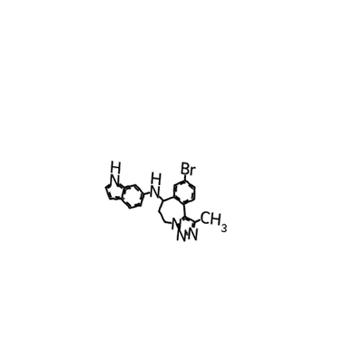 Cc1nnn2c1-c1ccc(Br)cc1C(Nc1ccc3cc[nH]c3c1)CC2